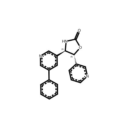 O=C1N[C@H](c2cncc(-c3ccccc3)c2)[C@@H](c2cccnc2)O1